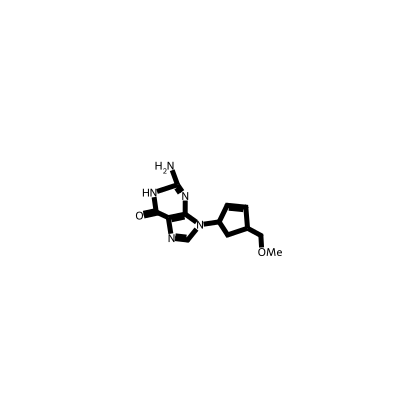 [CH2]OCC1C=CC(n2cnc3c(=O)[nH]c(N)nc32)C1